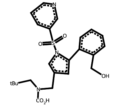 CC(C)(C)CN(Cc1cc(-c2ccccc2CO)n(S(=O)(=O)c2cccnc2)c1)C(=O)O